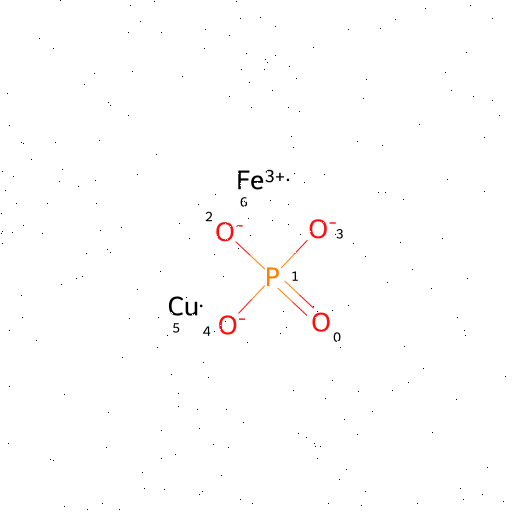 O=P([O-])([O-])[O-].[Cu].[Fe+3]